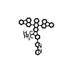 CC1(C)c2cc(-c3ccc(-c4ccccn4)nc3)ccc2-c2cc3c(-c4ccc5c6c(cccc46)-c4ccccc4-5)c4ccccc4c(-c4ccc5c6c(cccc46)-c4ccccc4-5)c3cc21